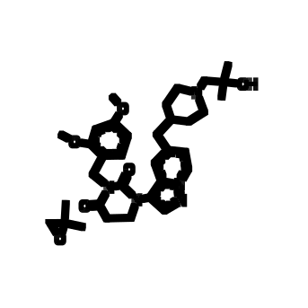 CC1(C)CO1.COc1ccc(CN2C(=O)CCN(c3cnn4ccc(CC5CCN(CC(C)(C)O)CC5)cc34)C2=O)c(OC)c1